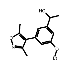 CCOc1cc(-c2c(C)noc2C)cc(C(C)O)c1